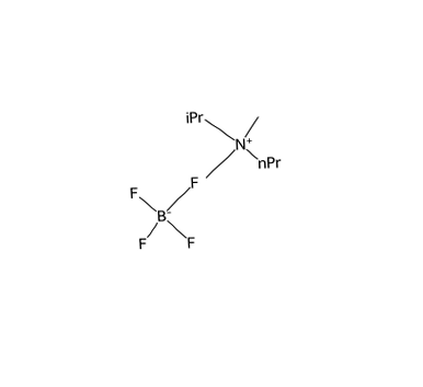 CCC[N+](C)(C)C(C)C.F[B-](F)(F)F